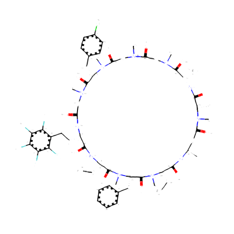 CC[C@H](C)[C@@H]1NC(=O)[C@H](C)N(C)C(=O)C[C@@H](C)NC(=O)[C@H](CC(C)C)N(C)C(=O)[C@H](Cc2ccccc2)N(C)C(=O)[C@H](CC(C)C)NC(=O)[C@H](CCc2c(F)c(F)c(F)c(F)c2F)NC(=O)CN(C)C(=O)[C@H](Cc2ccc(Cl)cc2)N(C)C(=O)CN(C)C(=O)CN(C)C1=O